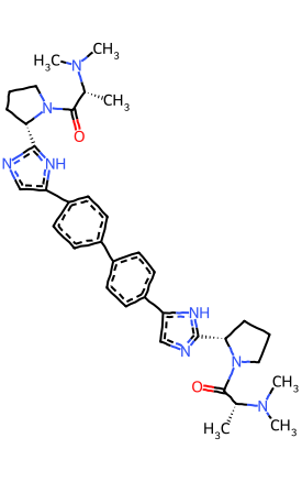 C[C@H](C(=O)N1CCC[C@H]1c1ncc(-c2ccc(-c3ccc(-c4cnc([C@@H]5CCCN5C(=O)[C@@H](C)N(C)C)[nH]4)cc3)cc2)[nH]1)N(C)C